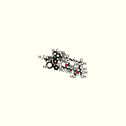 CCC(=O)N[C@H](C(=O)N[C@@H](CC(=O)O)C(=O)N[C@H](C(=O)N[C@@H](CSSCCOC(=O)NNC(=O)[C@@]1(O)[C@H](O)[C@]2(CC)C=CCN3CC[C@@]4(c5cc([C@@]6(C(=O)OC)C[C@@H](CC(O)(CC)CC)CNCCc7c6[nH]c6ccccc76)c(OC)cc5N(C)[C@@H]14)[C@@H]32)C(=O)O)[C@@H](O)[C@H](O)[C@H](O)CO)[C@@H](O)[C@H](O)[C@H](O)CO